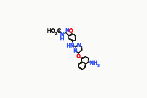 Nc1ccc(Oc2ccnc(Nc3ccc4onc(NC(=O)O)c4c3)n2)c2ccccc12